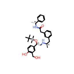 C[C@H](Cc1cccc(CC(=O)N[C@H](C)c2ccccc2)c1)NC[C@@H](O[Si](C)(C)C(C)(C)C)c1ccc(O)c(CO)c1